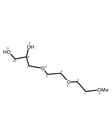 COCCOCCOCC(O)CO